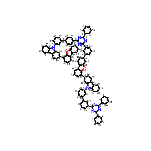 c1ccc(-c2nc(-c3ccccc3)nc(-c3cccc(-c4cccc(-n5c6ccccc6c6ccc(-c7cccc8c7oc7cc(-c9cccc(-c%10nc(-c%11ccccc%11)nc(-c%11ccc(-c%12cccc(-n%13c%14ccccc%14c%14ccc(-c%15cccc%16c%15oc%15ccccc%15%16)cc%14%13)c%12)cc%11)n%10)c9)ccc78)cc65)c4)c3)n2)cc1